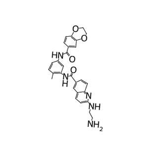 Cc1ccc(NC(=O)c2ccc3c(c2)OCCO3)cc1NC(=O)c1ccc2nc(NCCN)ccc2c1